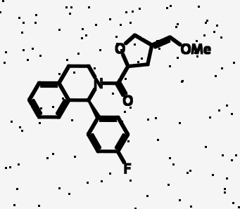 COC=C1COC(C(=O)N2CCc3ccccc3[C@@H]2c2ccc(F)cc2)C1